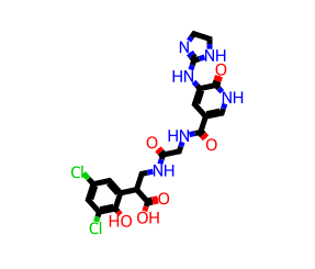 O=C(CNC(=O)c1c[nH]c(=O)c(NC2=NCCN2)c1)NCC(C(=O)O)c1cc(Cl)cc(Cl)c1O